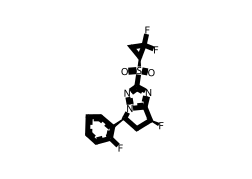 O=S(=O)(c1nc2n(n1)[C@H](c1ccccc1F)C[C@@H]2F)[C@H]1CC1(F)F